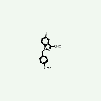 COc1ccc(Cn2nc(C=O)c3cc(I)ccc32)cc1